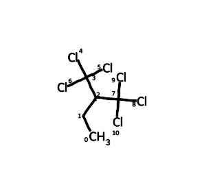 CC[C](C(Cl)(Cl)Cl)C(Cl)(Cl)Cl